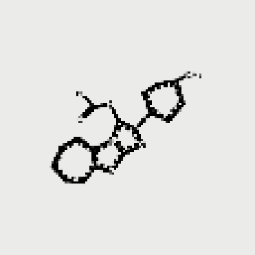 CCC(=O)Sc1c(-c2ccc(OC)cc2)nc2nc3cccccc3n12